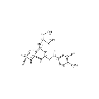 COc1ncc(C(C)Cc2nc(NC(CO)CC(C)C)nc(NS(C)(=O)=O)n2)cc1F